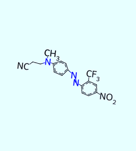 CN(CCC#N)c1ccc(N=Nc2ccc([N+](=O)[O-])cc2C(F)(F)F)cc1